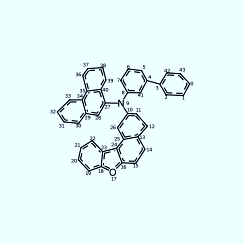 c1ccc(-c2cccc(N(c3ccc4ccc5oc6ccccc6c5c4c3)c3cc4ccccc4c4ccccc34)c2)cc1